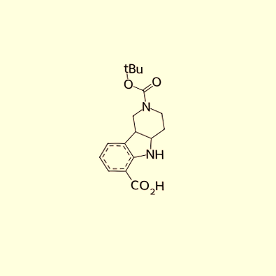 CC(C)(C)OC(=O)N1CCC2Nc3c(C(=O)O)cccc3C2C1